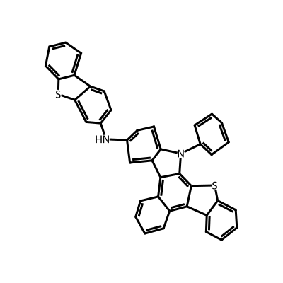 c1ccc(-n2c3ccc(Nc4ccc5c(c4)sc4ccccc45)cc3c3c4ccccc4c4c5ccccc5sc4c32)cc1